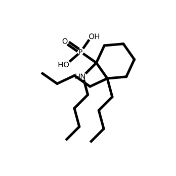 CCCCNC1(P(=O)(O)O)CCCCC1(CCCC)CCCC